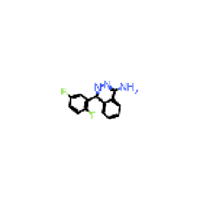 Nc1nnc(-c2cc(F)ccc2F)c2ccccc12